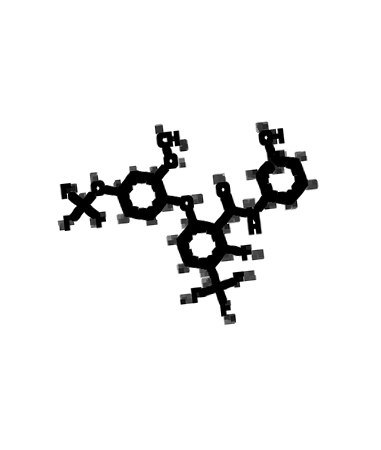 COc1cc(OC(F)(F)F)ccc1Oc1ccc(C(F)(F)F)c(F)c1C(=O)Nc1ccc[n+](O)c1